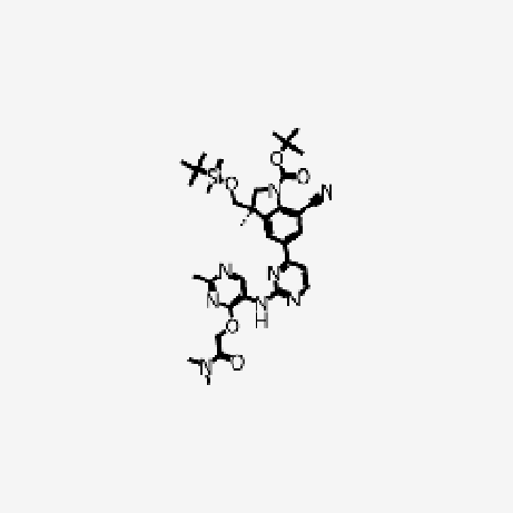 Cc1ncc(Nc2nccc(-c3cc(C#N)c4c(c3)[C@@](C)(CO[Si](C)(C)C(C)(C)C)CN4C(=O)OC(C)(C)C)n2)c(OCC(=O)N(C)C)n1